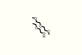 CCOCCO.COCCOCCOC